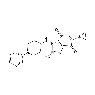 O=C1C(N2CC2)=CC(=O)c2c1n[n+](O)n2NC1CCN(c2ccccn2)CC1